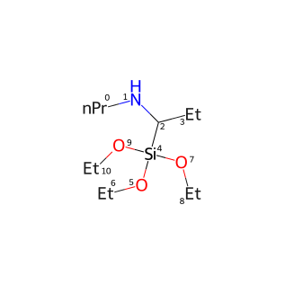 CCCNC(CC)[Si](OCC)(OCC)OCC